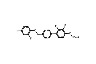 CCCCCOc1ccc(-c2ccc(COc3ccc(C)cc3F)cc2)c(F)c1F